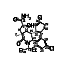 CCC(CC)N1C(=O)[C@@](C)(CC(O)C(N)=O)C[C@H](c2cccc(Cl)c2)[C@H]1c1ccc(Cl)cc1